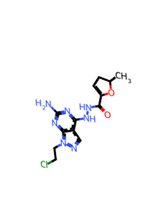 CC1CC=C(C(=O)NNc2nc(N)nc3c2cnn3CCCl)O1